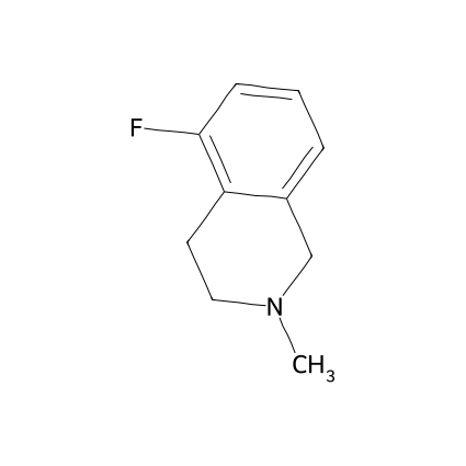 CN1CCc2c(F)cccc2C1